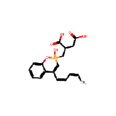 C/C=C\C=C/C1=C[PH](O)(CC(CC(=O)O)C(=O)O)Oc2ccccc21